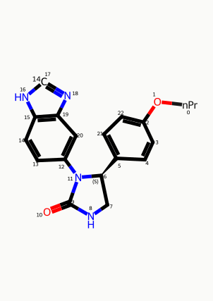 CCCOc1ccc([C@H]2CNC(=O)N2c2ccc3[nH][14cH]nc3c2)cc1